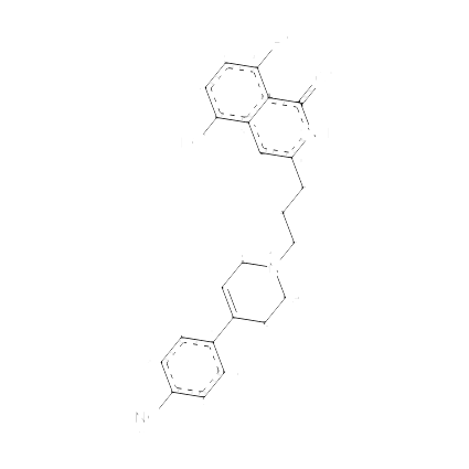 Cc1ccc(F)c2c(=O)[nH]c(CCCN3CC=C(c4ccc(C#N)cc4)CC3)cc12